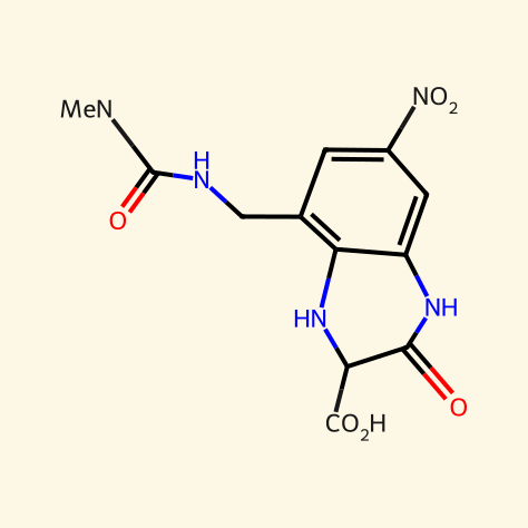 CNC(=O)NCc1cc([N+](=O)[O-])cc2c1NC(C(=O)O)C(=O)N2